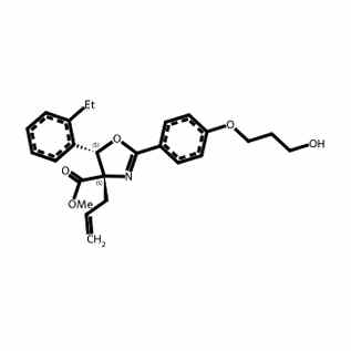 C=CC[C@]1(C(=O)OC)N=C(c2ccc(OCCCO)cc2)O[C@H]1c1ccccc1CC